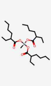 CCCCC(CC)C(=O)O[Si](C)(OC(=O)C(CC)CCCC)OC(=O)C(CC)CCCC